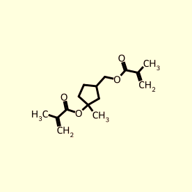 C=C(C)C(=O)OCC1CCC(C)(OC(=O)C(=C)C)C1